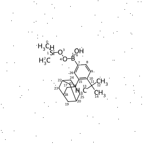 C[SiH](C)OOB(O)c1ccc(C(C)(C)C)c(C23CC4CC(CC(C4)C2)C3)c1